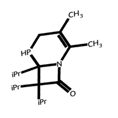 CC1=C(C)N2C(=O)C(C(C)C)(C(C)C)C2(C(C)C)PC1